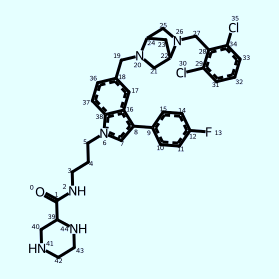 O=C(NCCCn1cc(-c2ccc(F)cc2)c2cc(CN3CC4CC3CN4Cc3c(Cl)cccc3Cl)ccc21)C1CNCCN1